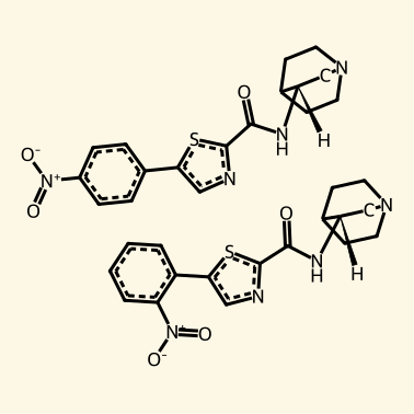 O=C(N[C@H]1CN2CCC1CC2)c1ncc(-c2ccc([N+](=O)[O-])cc2)s1.O=C(N[C@H]1CN2CCC1CC2)c1ncc(-c2ccccc2[N+](=O)[O-])s1